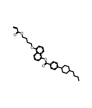 C=CC(=O)OCCCCOc1cccc2c(OC(=O)c3ccc(C4CCC(CCCC)CC4)cc3)cccc12